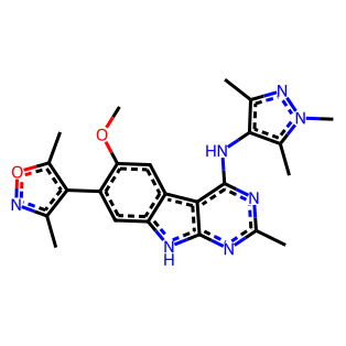 COc1cc2c(cc1-c1c(C)noc1C)[nH]c1nc(C)nc(Nc3c(C)nn(C)c3C)c12